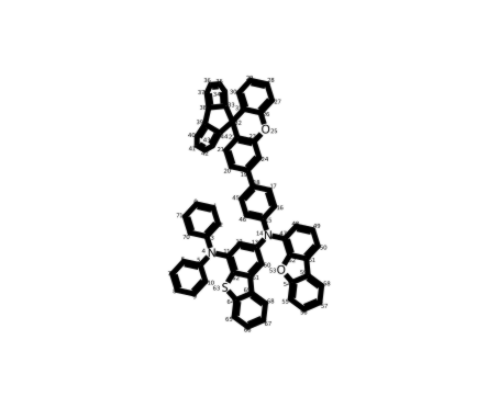 c1ccc(N(c2ccccc2)c2cc(N(c3ccc(-c4ccc5c(c4)Oc4ccccc4C54c5ccccc5-c5ccccc54)cc3)c3cccc4c3oc3ccccc34)cc3c2sc2ccccc23)cc1